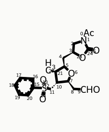 CC(=O)N1C[C@H](C[C@H]2O[C@@H](CC=O)[C@H](CS(=O)(=O)c3ccccc3)[C@H]2C)OC1=O